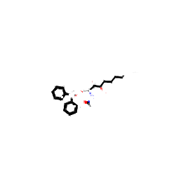 CCCCCCCCCCCCCCC(O)[C@@H](O)[C@H](CO[Si](c1ccccc1)(c1ccccc1)C(C)(C)C)NC(=O)C(F)(F)F